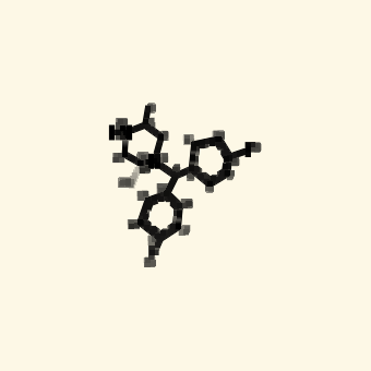 CC1CN(C(c2ccc(F)cc2)c2ccc(F)cc2)[C@H](C)CN1